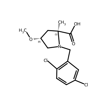 CO[C@H]1CN(Cc2cc(Cl)ccc2Cl)[C@](C)(C(=O)O)C1